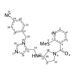 CSc1ncccc1C(=O)N1CC[C@@H](NCc2cncn2Cc2ccc(C#N)cc2)C1